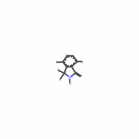 C=C1c2c(C)ccc(C)c2C(C)(C)N1C